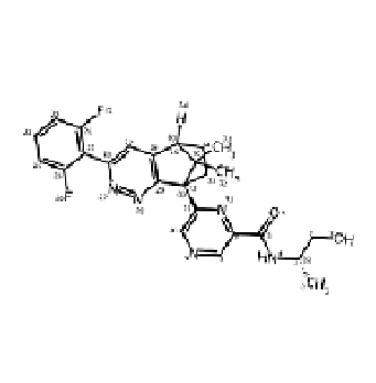 C[C@@H](CO)NC(=O)c1cncc([C@@]23CC[C@@H](c4cc(-c5c(F)cccc5F)nnc42)C3(C)C)n1